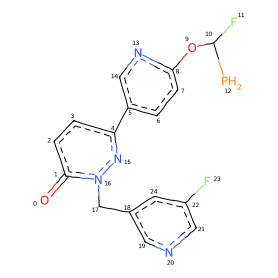 O=c1ccc(-c2ccc(OC(F)P)nc2)nn1Cc1cncc(F)c1